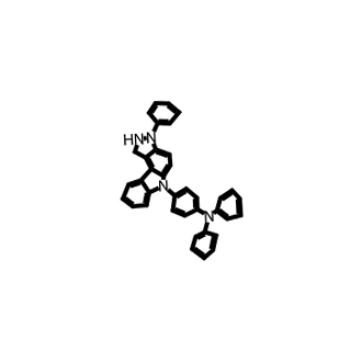 c1ccc(N2NCc3c2ccc2c3c3ccccc3n2-c2ccc(N(c3ccccc3)c3ccccc3)cc2)cc1